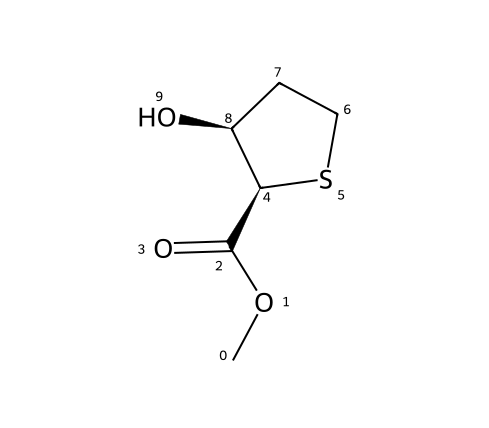 COC(=O)[C@@H]1SCC[C@@H]1O